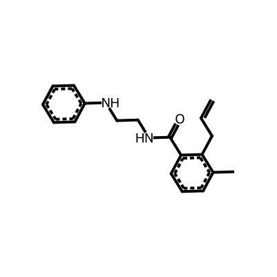 C=CCc1c(C)cccc1C(=O)NCCNc1ccccc1